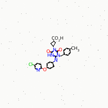 Cc1ccc(Cn2c(=O)n([C@H]3C[C@H](C(=O)O)C3)c(=O)[nH]/c2=N\c2ccc(Oc3ccc(Cl)cn3)cc2)cc1